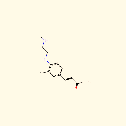 BNCCNc1ccc(/C=C/C(=O)OC)cc1[N+](=O)[O-]